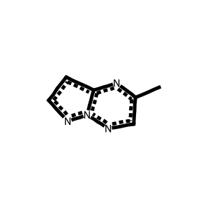 Cc1cnn2nccc2n1